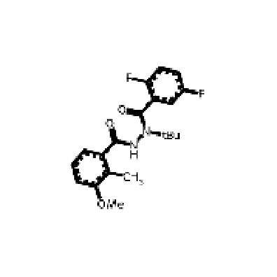 COc1cccc(C(=O)NN(C(=O)c2cc(F)ccc2F)C(C)(C)C)c1C